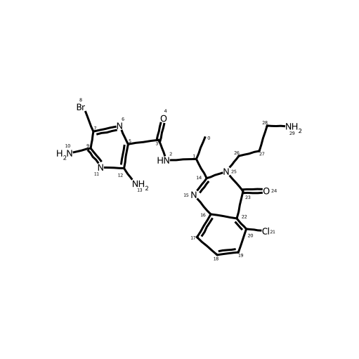 CC(NC(=O)c1nc(Br)c(N)nc1N)c1nc2cccc(Cl)c2c(=O)n1CCCN